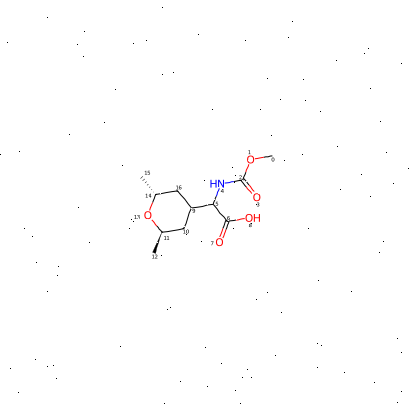 COC(=O)NC(C(=O)O)C1C[C@@H](C)O[C@H](C)C1